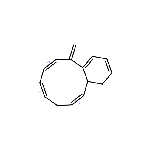 C=C1/C=C\C=C/C/C=C\C2CC=CC=C12